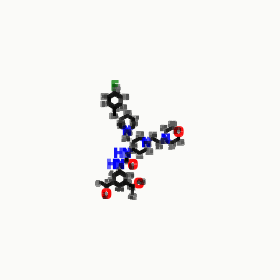 CC(=O)c1cc(NC(=O)N[C@@H]2CCN(CCN3CCOCC3)C[C@H]2CN2CCC[C@@H](Cc3ccc(F)cc3)C2)cc(C(C)=O)c1